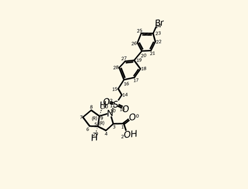 O=C(O)C1C[C@H]2CCC[C@H]2N1S(=O)(=O)CCc1ccc(-c2ccc(Br)cc2)cc1